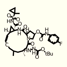 CC1CC/C=C\[C@H]2C[C@@]2(C(=O)NS(=O)(=O)C2(C)CC2)NC(=O)[C@@H]2C[C@@H](OC(=O)Nc3ccc(F)cc3)CN2C(=O)[C@@H](NNC(=O)OC(C)(C)C)[C@H](C)C1